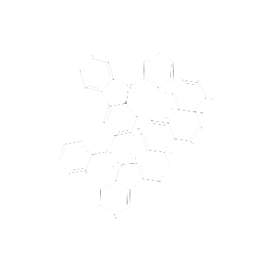 c1ccc(N(c2ccc3c(c2)c2ccccc2n3-c2ccccc2)n2c3ccccc3c3ccc4c5ccc6ccccc6c5ccc4c32)cc1